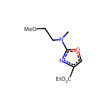 CCOC(=O)c1coc(N(C)CCOC)n1